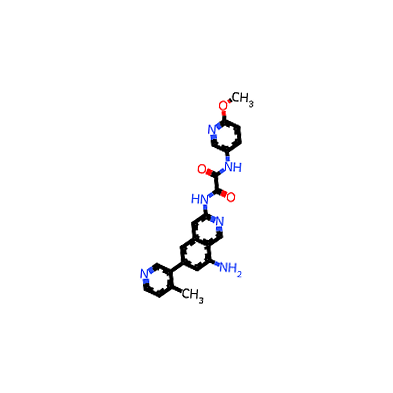 COc1ccc(NC(=O)C(=O)Nc2cc3cc(-c4cnccc4C)cc(N)c3cn2)cn1